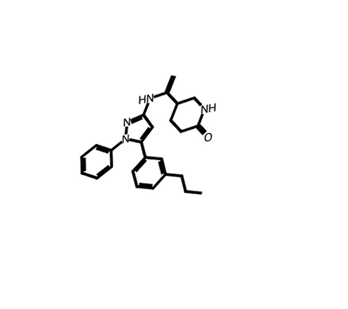 C=C(Nc1cc(-c2cccc(CCC)c2)n(-c2ccccc2)n1)C1CCC(=O)NC1